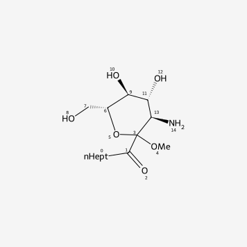 CCCCCCCC(=O)C1(OC)O[C@H](CO)[C@@H](O)[C@H](O)[C@H]1N